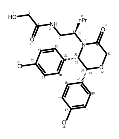 CCC[C@H](CNC(=O)CO)N1C(=O)CO[C@H](c2ccc(Cl)cc2)[C@@H]1c1ccc(Cl)cc1